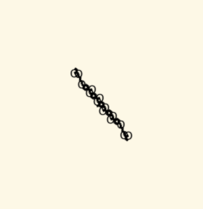 C=CC(=O)OCCCCOc1ccc(C(=O)Oc2ccc(C(=O)Oc3ccc(OC(=O)c4ccc(OC(=O)c5ccc(OCCCCOC(=O)C=C)cc5)cc4)c(C)c3)cc2)cc1